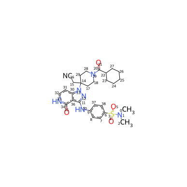 CN(C)S(=O)(=O)c1ccc(Nc2nn(C3(CC#N)CCN(C(=O)C4CCCCC4)CC3)c3cc[nH]c(=O)c23)cc1